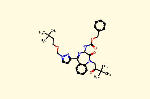 CC(C)(C)C(=O)CN1C(=O)C(NC(=O)OCc2ccccc2)N=C(c2ccn(COCC[Si](C)(C)C)n2)c2ccccc21